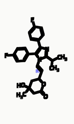 CC(C)c1nc(-c2ccc(F)cc2)c(-c2ccc(F)cc2)n1/C=C/C1CC(C)(O)CC(=O)O1